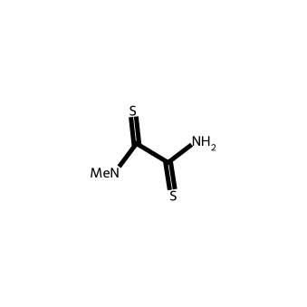 CNC(=S)C(N)=S